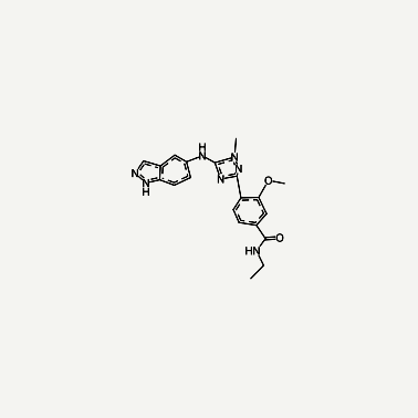 CCNC(=O)c1ccc(-c2nc(Nc3ccc4[nH]ncc4c3)n(C)n2)c(OC)c1